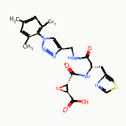 Cc1cc(C)c(-n2cc(CNC(=O)[C@H](Cc3cscn3)NC(=O)[C@H]3O[C@@H]3C(=O)O)nn2)c(C)c1